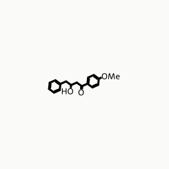 COc1ccc(C(=O)CC(O)Cc2ccccc2)cc1